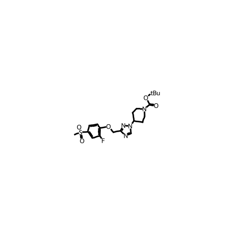 CC(C)(C)OC(=O)N1CCC(n2cnc(COc3ccc(S(C)(=O)=O)cc3F)n2)CC1